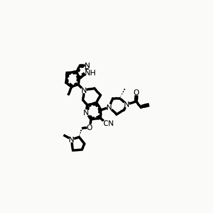 C=CC(=O)N1CCN(c2c(C#N)c(OC[C@@H]3CCCN3C)nc3c2CCN(c2c(C)ccc4cn[nH]c24)C3)C[C@@H]1C